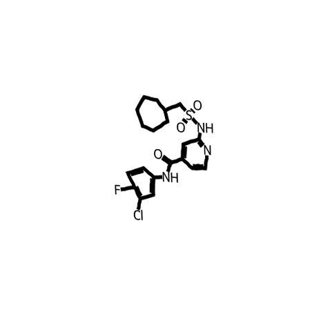 O=C(Nc1ccc(F)c(Cl)c1)c1ccnc(NS(=O)(=O)CC2CCCCCC2)c1